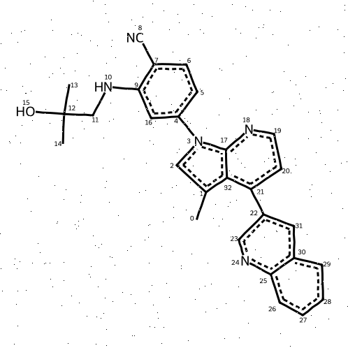 Cc1cn(-c2ccc(C#N)c(NCC(C)(C)O)c2)c2nccc(-c3cnc4ccccc4c3)c12